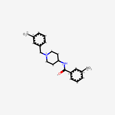 O=C(NC1CCN(Cc2cccc([N+](=O)[O-])c2)CC1)c1cccc([N+](=O)[O-])c1